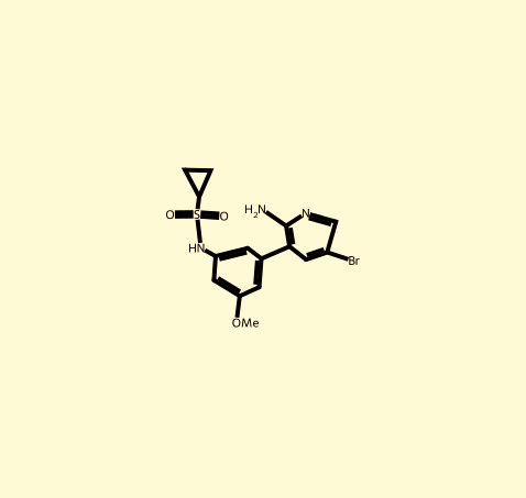 COc1cc(NS(=O)(=O)C2CC2)cc(-c2cc(Br)cnc2N)c1